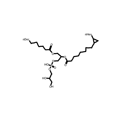 CCCCCCCCCCCCCCCC(=O)OCC(COP(=O)(O)OCC(O)CO)OC(=O)CCCCCCCC1CC1CCCCCC